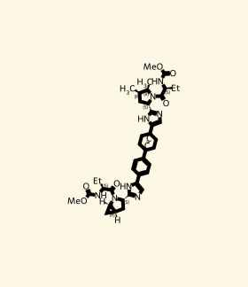 CC[C@H](NC(=O)OC)C(=O)N1[C@H](C)[C@H](C)C[C@H]1c1ncc(C23CCC(c4ccc(-c5cnc([C@@H]6C[C@H]7C[C@H]7N6C(=O)[C@H](CC)NC(=O)OC)[nH]5)cc4)(CC2)CC3)[nH]1